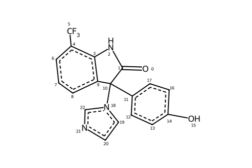 O=C1Nc2c(C(F)(F)F)cccc2C1(c1ccc(O)cc1)n1ccnc1